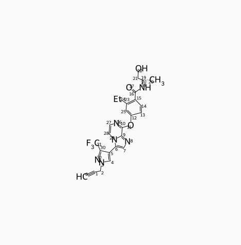 C#CCn1cc(-c2cnc3c(Oc4ccc(C(=O)N[C@@H](C)CO)c(CC)c4)nccn23)c(C(F)(F)F)n1